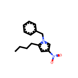 CCCCc1cc([N+](=O)[O-])cn1Cc1ccccc1